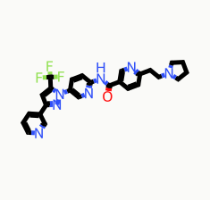 O=C(Nc1ccc(-n2nc(-c3cccnc3)cc2C(F)(F)F)cn1)c1ccc(CCN2CCCC2)nc1